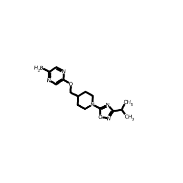 Bc1cnc(OCC2CCN(c3nc(C(C)C)no3)CC2)cn1